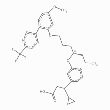 CCC[C@H](CCCOc1cc(OC)ccc1-c1cnc(C(F)(F)F)cn1)Oc1cc(C(CC(=O)O)C2CC2)ccn1